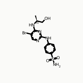 C[C@@H](CO)Nc1nc(Nc2ccc(S(N)(=O)=O)cc2)ncc1Br